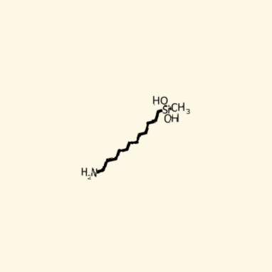 C[Si](O)(O)CCCCCCCCCCCCN